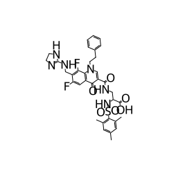 Cc1cc(C)c(S(=O)(=O)NC(CNC(=O)c2cn(CCc3ccccc3)c3c(F)c(CNC4=NCCN4)c(F)cc3c2=O)C(=O)O)c(C)c1